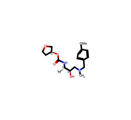 [2H][C@H](NC(=O)O[C@H]1CCOC1)[C@H](O)CN(C)Cc1ccc(OC)cc1